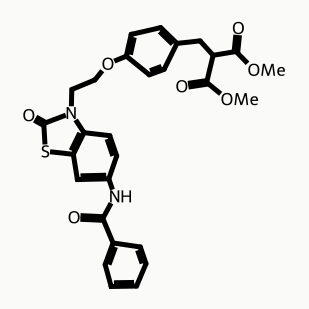 COC(=O)C(Cc1ccc(OCCn2c(=O)sc3cc(NC(=O)c4ccccc4)ccc32)cc1)C(=O)OC